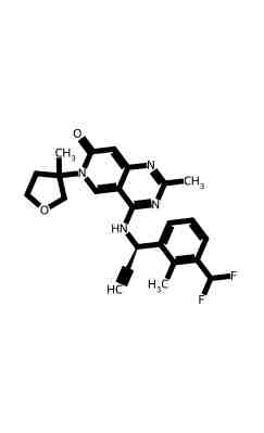 C#C[C@@H](Nc1nc(C)nc2cc(=O)n(C3(C)CCOC3)cc12)c1cccc(C(F)F)c1C